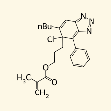 C=C(C)C(=O)OCCCC1(Cl)C(CCCC)=CC2=NN=NC2=C1c1ccccc1